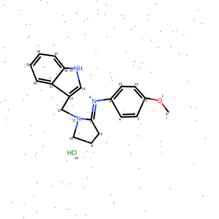 COc1ccc(N=C2CCCN2Cc2c[nH]c3ccccc23)cc1.Cl